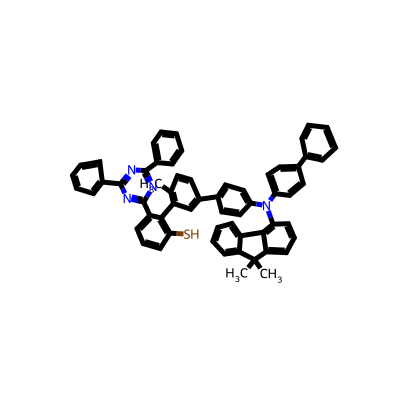 Cc1ccc(-c2ccc(N(c3ccc(-c4ccccc4)cc3)c3cccc4c3-c3ccccc3C4(C)C)cc2)cc1-c1c(S)cccc1-c1nc(-c2ccccc2)nc(-c2ccccc2)n1